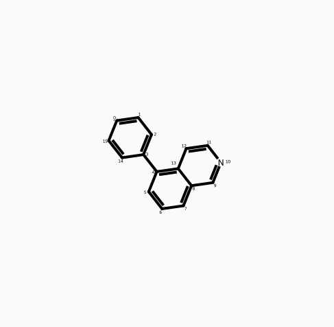 [c]1ccc(-c2cccc3cnccc23)cc1